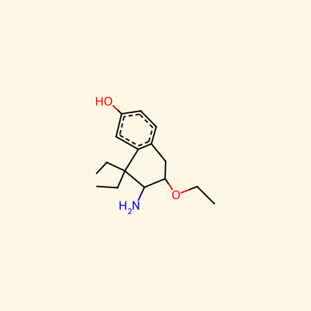 CCOC1Cc2ccc(O)cc2C(CC)(CC)C1N